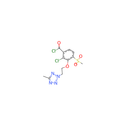 Cc1nnn(CCOc2c(S(C)(=O)=O)ccc(C(=O)Cl)c2Cl)n1